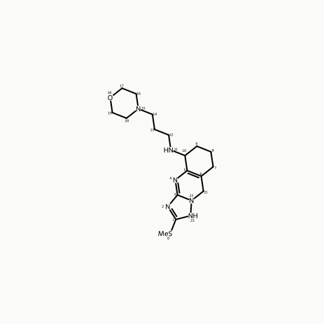 CSC1=NC2=NC3=C(CCCC3NCCCN3CCOCC3)CN2N1